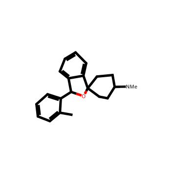 CNC1CCC2(CC1)OC(c1ccccc1C)c1ccccc12